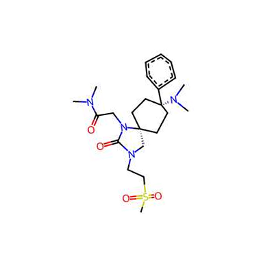 CN(C)C(=O)CN1C(=O)N(CCS(C)(=O)=O)C[C@]12CC[C@@](c1ccccc1)(N(C)C)CC2